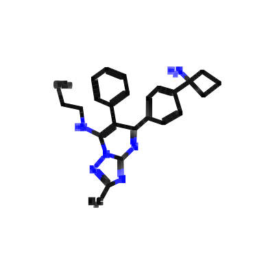 COCCNc1c(-c2ccccc2)c(-c2ccc(C3(N)CCC3)cc2)nc2nc(C)nn12